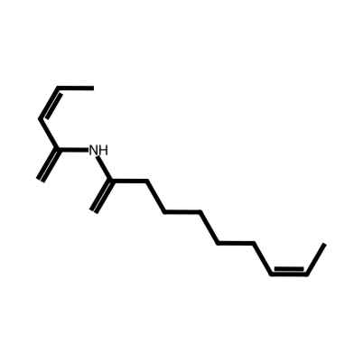 C=C(/C=C\C)NC(=C)CCCCC/C=C\C